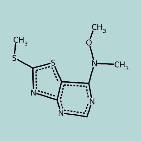 CON(C)c1ncnc2nc(SC)sc12